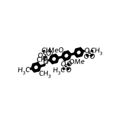 COc1cc(-c2ccc(OS(C)(=O)=O)cc2)c(OC)c(OS(C)(=O)=O)c1-c1ccc(OCc2c(C)cc(C)cc2C)c(OS(C)(=O)=O)c1